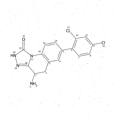 NC1Cc2cc(-c3ccc(Cl)cc3Cl)ccc2-n2c1n[nH]c2=O